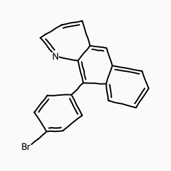 Brc1ccc(-c2c3ccccc3cc3cccnc23)cc1